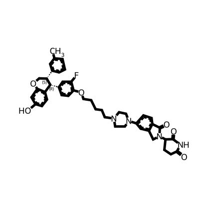 Cc1cccc([C@H]2COc3cc(O)ccc3[C@H]2c2ccc(OCCCCCN3CCN(c4ccc5c(c4)CN(C4CCC(=O)NC4=O)C5=O)CC3)c(F)c2)c1